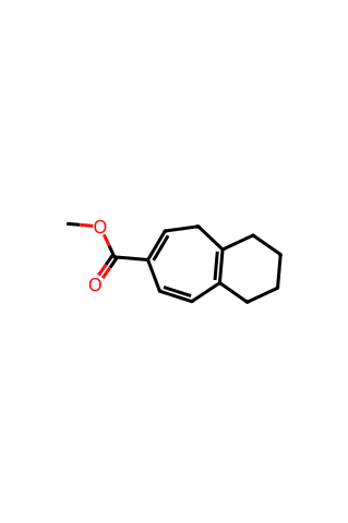 COC(=O)C1=CCC2=C(C=C1)CCCC2